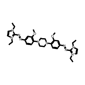 CCn1cc[n+](CC)c1/N=N/c1ccc(N2CCN(c3ccc(/N=N/c4n(CC)cc[n+]4CC)cc3OC)CC2)c(OC)c1